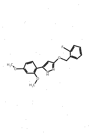 COc1ccc(-c2cc(OCc3ccccc3F)n[nH]2)c(OC)c1